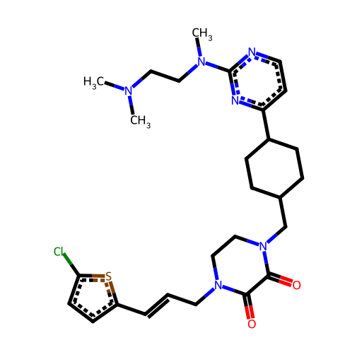 CN(C)CCN(C)c1nccc(C2CCC(CN3CCN(CC=Cc4ccc(Cl)s4)C(=O)C3=O)CC2)n1